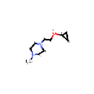 CN1CCN(CCOC2CC2)CC1